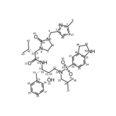 Cc1nc(CN2CCN([C@H](C(=O)N[C@@H](Cc3ccccc3)[C@@H](O)CN(CC(C)C)S(=O)(=O)c3ccc4c(c3)CCN4)C(C)C)C2=O)cs1